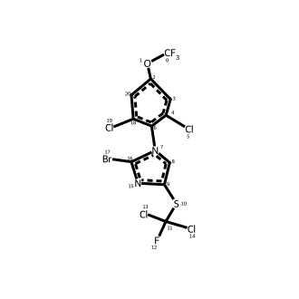 FC(F)(F)Oc1cc(Cl)c(-n2cc(SC(F)(Cl)Cl)nc2Br)c(Cl)c1